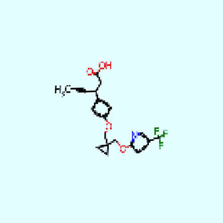 CC#CC(CC(=O)O)c1ccc(OCC2(COc3ccc(C(F)(F)F)cn3)CC2)cc1